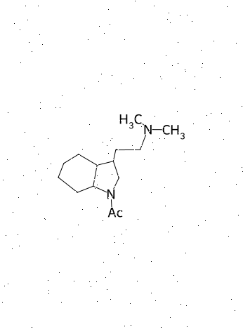 CC(=O)N1CC(CCN(C)C)C2CCCCC21